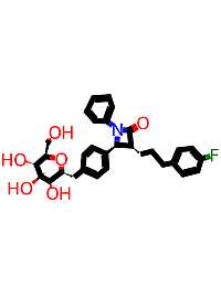 O=C1[C@H](CCCc2ccc(F)cc2)[C@@H](c2ccc(C[C@H]3O[C@H](CO)[C@@H](O)[C@H](O)[C@H]3O)cc2)N1c1ccccc1